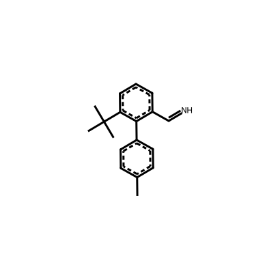 Cc1ccc(-c2c(C=N)cccc2C(C)(C)C)cc1